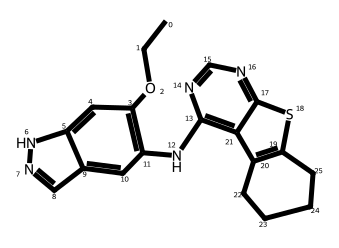 CCOc1cc2[nH]ncc2cc1Nc1ncnc2sc3c(c12)CCCC3